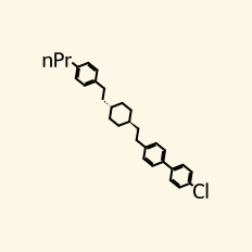 CCCc1ccc(CC[C@H]2CC[C@H](CCc3ccc(-c4ccc(Cl)cc4)cc3)CC2)cc1